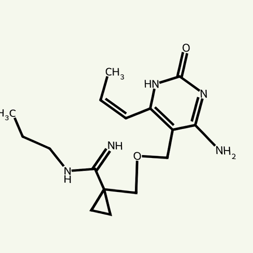 C/C=C\c1[nH]c(=O)nc(N)c1COCC1(C(=N)NCCC)CC1